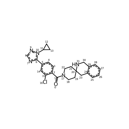 O=C(c1ccc(-c2ncnn2C2CC2)cc1Cl)N1CCC2(CC1)Cc1ccccc1CN2